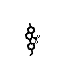 CCc1ccc2c(c1)oc(=O)c1c3ccc(C)cc3ccc21